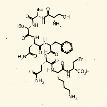 CC[C@H](C)[C@H](NC(=O)[C@@H](NC(=O)[C@@H](N)CO)[C@@H](C)CC)C(=O)N[C@@H](CC(N)=O)C(=O)N[C@@H](Cc1ccccc1)C(=O)N[C@@H](CCC(N)=O)C(=O)N[C@@H](CCCCN)C(=O)N[C@@H](CC(C)C)C(=O)O